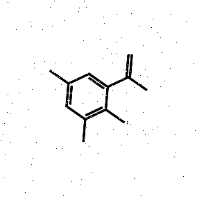 [CH]c1c(C)cc(C)cc1C(=C)C